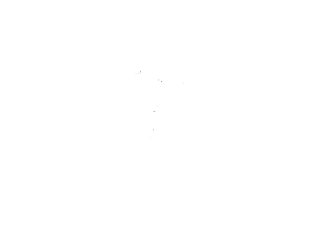 CON(C)C[C@H](O)[C@H](O)CC(N)C1CCCCC1